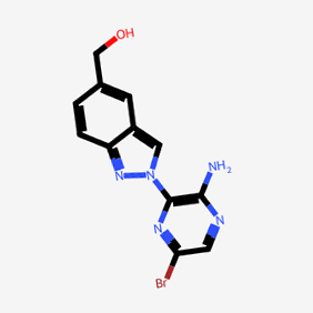 Nc1ncc(Br)nc1-n1cc2cc(CO)ccc2n1